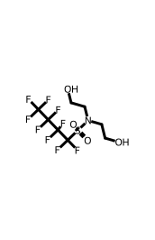 O=S(=O)(N(CCO)CCO)C(F)(F)C(F)(F)C(F)(F)C(F)(F)F